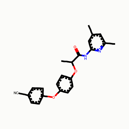 Cc1cc(C)nc(NC(=O)C(C)Oc2ccc(Oc3ccc(C#N)cc3)cc2)c1